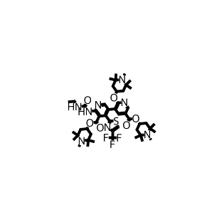 CCNC(=O)Nc1ncc(-c2cc(C(=O)OC3CC(C)(C)N(C)C(C)(C)C3)cnc2OC2CC(C)(C)N(C)C(C)(C)C2)c(-c2nc(C(F)(F)F)cs2)c1C(=O)OC1CC(C)(C)N(C)C(C)(C)C1